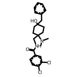 CN(C)C1(CNC(=O)c2ccc(Cl)c(Cl)c2)CCC(O)(Cc2ccccc2)CC1